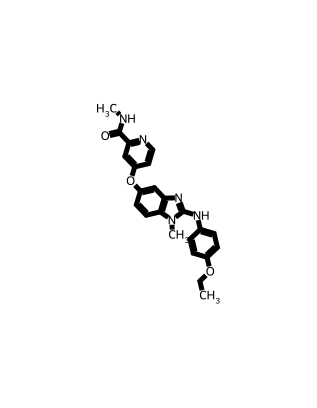 CCOc1ccc(Nc2nc3cc(Oc4ccnc(C(=O)NC)c4)ccc3n2C)cc1